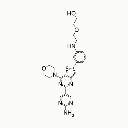 Nc1ncc(-c2nc(N3CCOCC3)c3sc(-c4cccc(NCCOCCO)c4)cc3n2)cn1